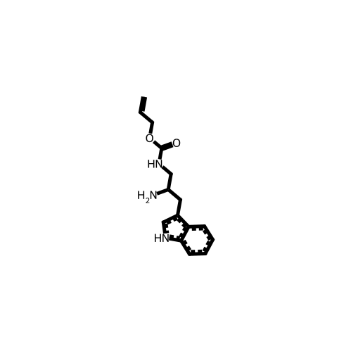 C=CCOC(=O)NCC(N)Cc1c[nH]c2ccccc12